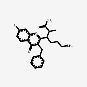 CC(C(N)=O)C(CCCN)c1oc2cc(F)ccc2c(=O)c1Cc1ccccc1